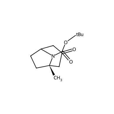 CC(C)(C)OC(=O)N1C2CC[C@@]1(C)CC(=O)C2